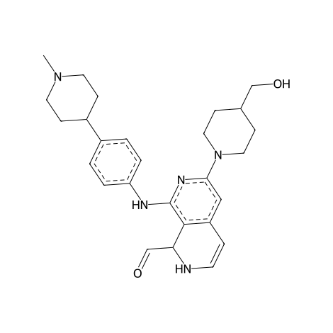 CN1CCC(c2ccc(Nc3nc(N4CCC(CO)CC4)cc4c3C(C=O)NC=C4)cc2)CC1